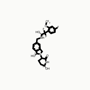 O=C1N[C@H](O)CCC1N1Cc2cc(CN[C@H](O)C(F)(F)c3ccc(F)cc3OC(F)(F)F)ccc2[C@@H]1O